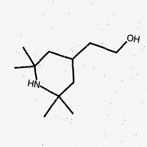 CC1(C)CC(CCO)CC(C)(C)N1